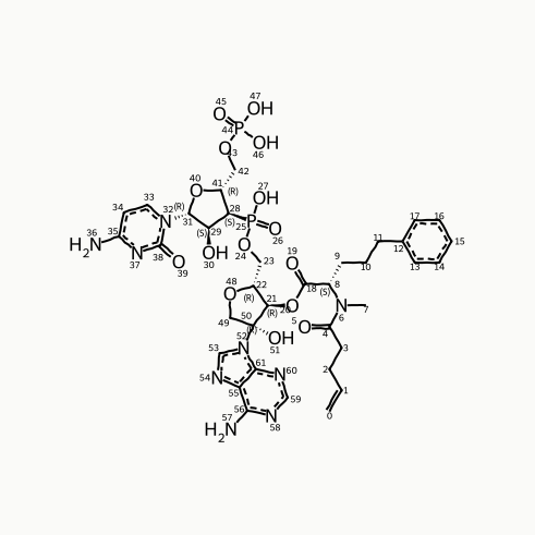 C=CCCC(=O)N(C)[C@@H](CCCc1ccccc1)C(=O)O[C@@H]1[C@@H](COP(=O)(O)[C@H]2[C@@H](O)[C@H](n3ccc(N)nc3=O)O[C@@H]2COP(=O)(O)O)OC[C@]1(O)n1cnc2c(N)ncnc21